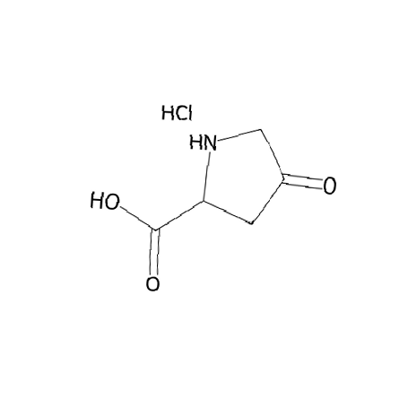 Cl.O=C1CNC(C(=O)O)C1